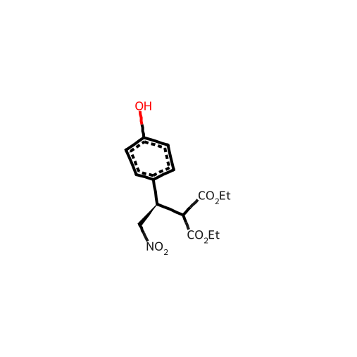 CCOC(=O)C(C(=O)OCC)[C@@H](C[N+](=O)[O-])c1ccc(O)cc1